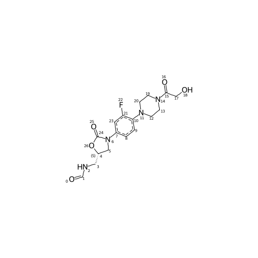 O=CNC[C@H]1CN(c2ccc(N3CCN(C(=O)CO)CC3)c(F)c2)C(=O)O1